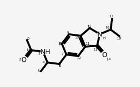 CC(=O)NC(C)Cc1ccc2c(c1)C(=O)N(C(C)C)C2